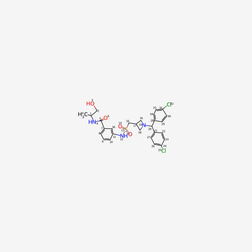 CC(CO)NC(=O)c1cccc(NS(=O)(=O)CC2CN(C(c3ccc(Cl)cc3)c3ccc(Cl)cc3)C2)c1